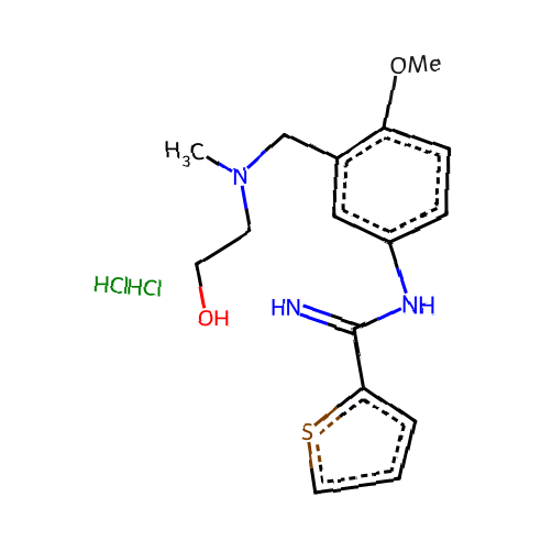 COc1ccc(NC(=N)c2cccs2)cc1CN(C)CCO.Cl.Cl